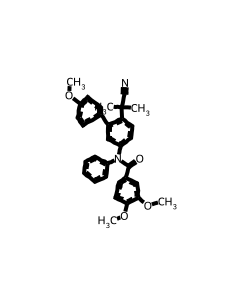 COc1ccc(-c2cc(N(C(=O)c3ccc(OC)c(OC)c3)c3ccccc3)ccc2C(C)(C)C#N)cc1